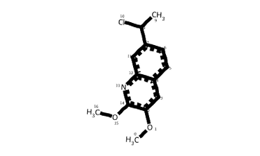 COc1cc2ccc(C(C)Cl)cc2nc1OC